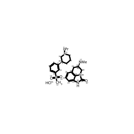 CCCN1CCC[C@@H](c2cccc(S(C)(=O)=O)c2)C1.CN[C@@H]1Cc2cccc3[nH]c(=O)n(c23)C1.Cl